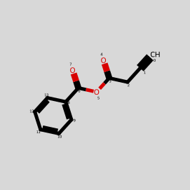 C#CCC(=O)OC(=O)c1ccccc1